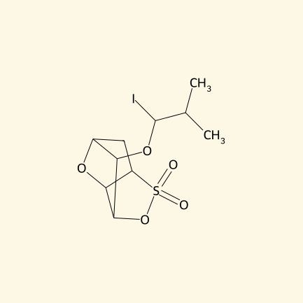 CC(C)C(I)OC1C2CC3C(O2)C1OS3(=O)=O